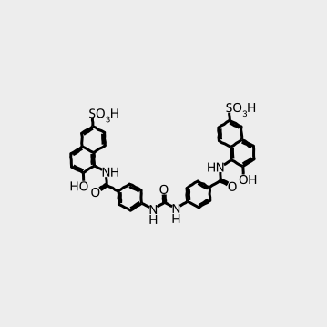 O=C(Nc1ccc(C(=O)Nc2c(O)ccc3cc(S(=O)(=O)O)ccc23)cc1)Nc1ccc(C(=O)Nc2c(O)ccc3cc(S(=O)(=O)O)ccc23)cc1